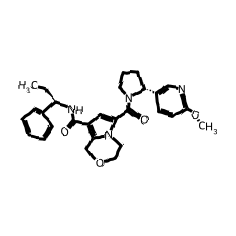 CC[C@@H](NC(=O)c1cc(C(=O)N2CCC[C@@H]2c2ccc(OC)nc2)n2c1COCC2)c1ccccc1